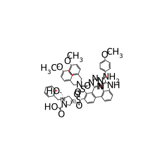 COc1ccc(CN(Cc2ccc(OC)cc2)S(=O)(=O)c2c(S(=O)(=O)[C@@H]3CN(C(=O)O)[C@@](CO)(Cc4ccccc4)C3)ccc(-c3cccc4[nH]c(N)nc34)c2-c2nnn(Cc3ccc(OC)cc3)n2)cc1